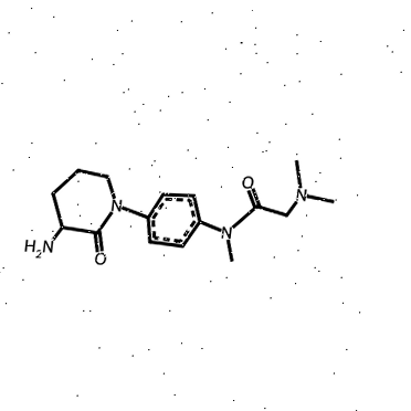 CN(C)CC(=O)N(C)c1ccc(N2CCCC(N)C2=O)cc1